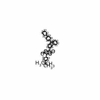 CC(C)(C)c1ccc(C2=C3OC(=O)C(c4ccc5c(c4)c4ccccc4n5-c4ccc(-c5ccccc5)cc4)=C3OC2=O)cc1